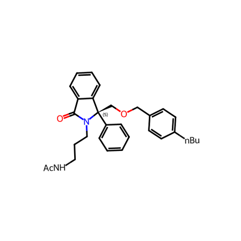 CCCCc1ccc(COC[C@]2(c3ccccc3)c3ccccc3C(=O)N2CCCNC(C)=O)cc1